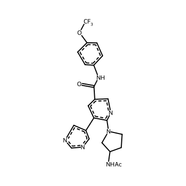 CC(=O)NC1CCN(c2ncc(C(=O)Nc3ccc(OC(F)(F)F)cc3)cc2-c2cncnc2)C1